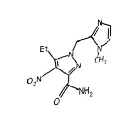 CCc1c([N+](=O)[O-])c(C(N)=O)nn1Cc1nccn1C